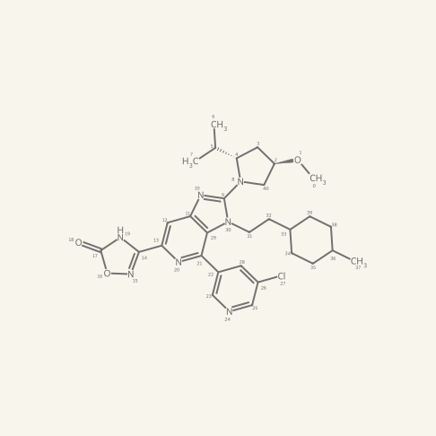 CO[C@@H]1C[C@@H](C(C)C)N(c2nc3cc(-c4noc(=O)[nH]4)nc(-c4cncc(Cl)c4)c3n2CCC2CCC(C)CC2)C1